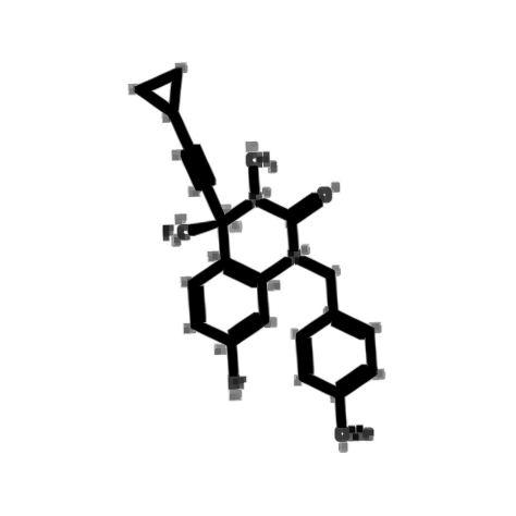 COc1ccc(CN2C(=O)N(C)[C@](C#CC3CC3)(C(F)(F)F)c3ccc(Br)cc32)cc1